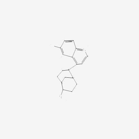 NC1CCC2CC1CCC2c1ccnc2ccc(F)cc12